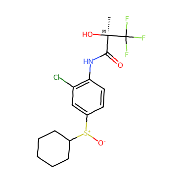 C[C@@](O)(C(=O)Nc1ccc([S+]([O-])C2CCCCC2)cc1Cl)C(F)(F)F